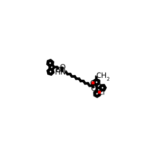 C=Cc1ccc(C(OC(=O)CCCCCCCCCCCCNC(=O)OCC2c3ccccc3-c3ccccc32)(c2ccccc2)c2ccccc2Cl)cc1